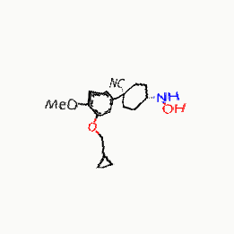 COc1ccc([C@]2(C#N)CC[C@@H](NO)CC2)cc1OCC1CC1